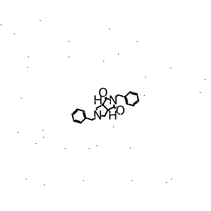 O=C1[C@H]2CN(Cc3ccccc3)C[C@H]2C(=O)N1Cc1ccccc1